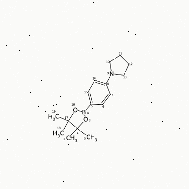 CC1(C)OB(c2ccc(N3CCCC3)cc2)OC1(C)C